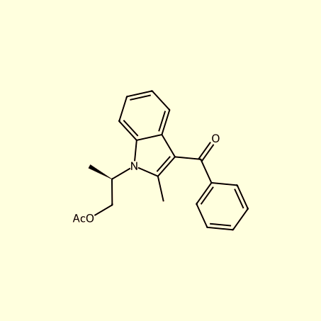 CC(=O)OC[C@@H](C)n1c(C)c(C(=O)c2ccccc2)c2ccccc21